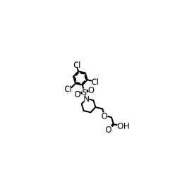 O=C(O)COCC1CCCN(S(=O)(=O)c2c(Cl)cc(Cl)cc2Cl)C1